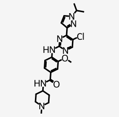 COc1cc(C(=O)NC2CCN(C)CC2)ccc1Nc1ncc(Cl)c(-c2ccn(C(C)C)n2)n1